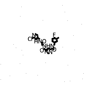 Cc1cc(CNC(=O)c2cc(C(=O)NCC(=O)NCc3ccnc(Cl)c3)ncn2)ccc1F